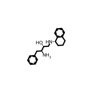 N[C@@H](Cc1ccccc1)[C@H](O)CN[C@H]1CCCc2ccccc21